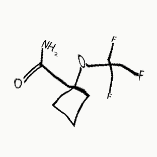 NC(=O)C1(OC(F)(F)F)CCC1